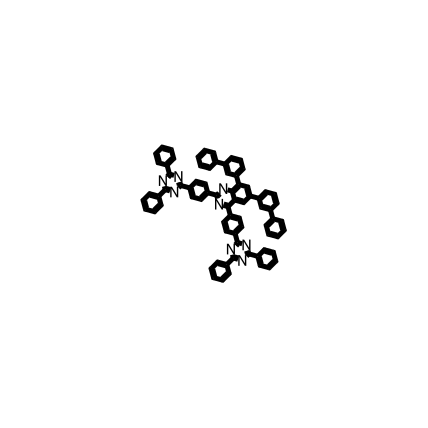 c1ccc(-c2cccc(-c3cc(-c4cccc(-c5ccccc5)c4)c4nc(-c5ccc(-c6nc(-c7ccccc7)nc(-c7ccccc7)n6)cc5)nc(-c5ccc(-c6nc(-c7ccccc7)nc(-c7ccccc7)n6)cc5)c4c3)c2)cc1